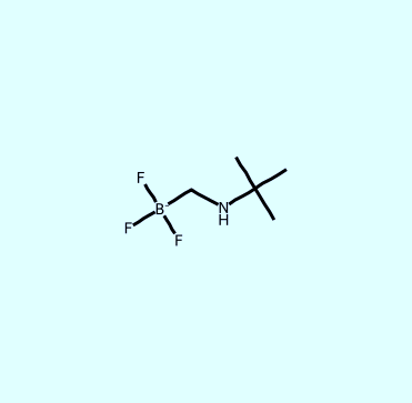 CC(C)(C)NC[B-](F)(F)F